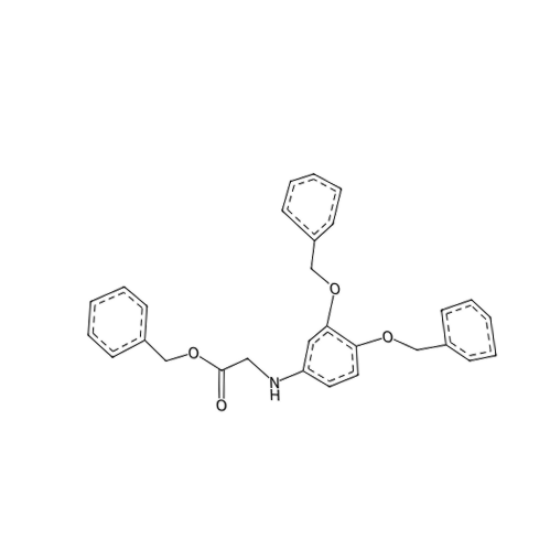 O=C(CNc1ccc(OCc2ccccc2)c(OCc2ccccc2)c1)OCc1ccccc1